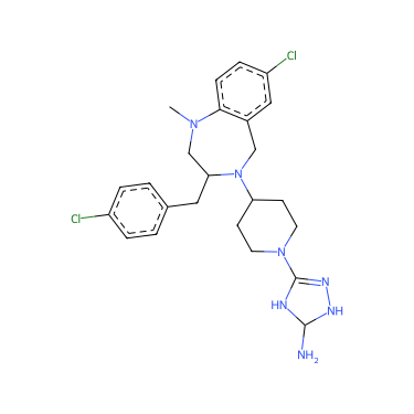 CN1CC(Cc2ccc(Cl)cc2)N(C2CCN(C3=NNC(N)N3)CC2)Cc2cc(Cl)ccc21